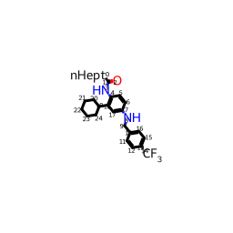 CCCCCCCC(=O)Nc1ccc(NCc2ccc(C(F)(F)F)cc2)cc1C1CCCCC1